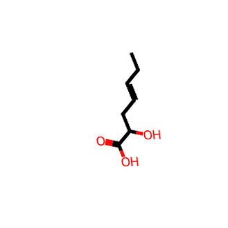 CCC=CCC(O)C(=O)O